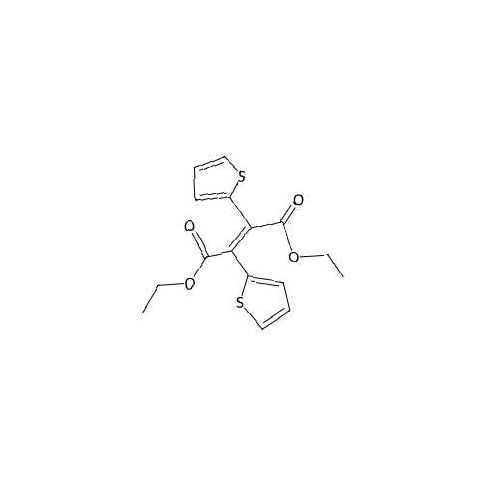 CCOC(=O)/C(=C(/C(=O)OCC)c1cccs1)c1cccs1